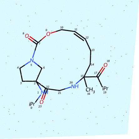 CC(C)NC12CCN(C1)C(=O)OCC=CCCC(C)(C(=O)C(C)C)NCC2=O